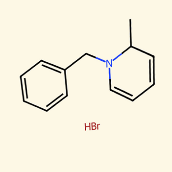 Br.CC1C=CC=CN1Cc1ccccc1